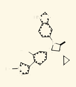 Cc1cc([C@H]2[C@@H](C3CC3)C(=O)N2c2ccc3[nH]cnc3c2)ccc1-c1cnn(C)c1